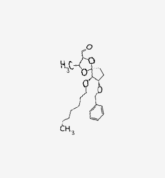 CCCCCCCO[C@@H]1[C@H](OCc2ccccc2)CC[C@@]12OC(C)C(C=O)O2